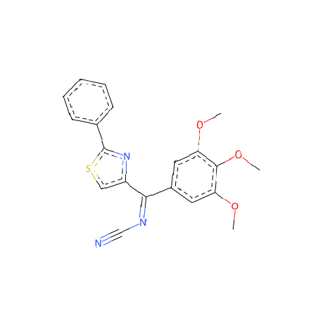 COc1cc(/C(=N/C#N)c2csc(-c3ccccc3)n2)cc(OC)c1OC